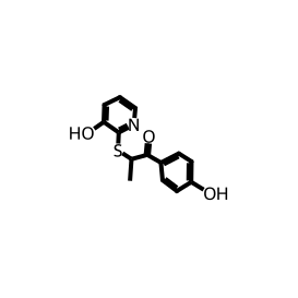 CC(Sc1ncccc1O)C(=O)c1ccc(O)cc1